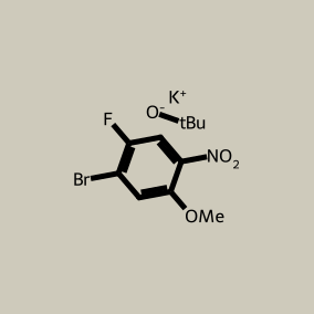 CC(C)(C)[O-].COc1cc(Br)c(F)cc1[N+](=O)[O-].[K+]